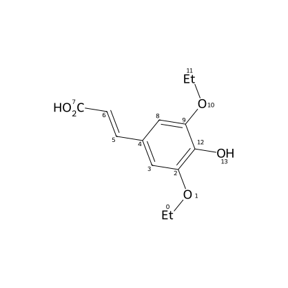 CCOc1cc(/C=C/C(=O)O)cc(OCC)c1O